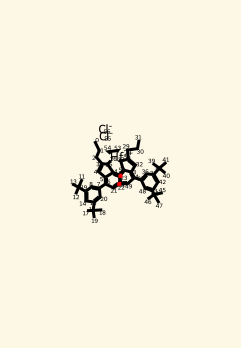 CCCC1=Cc2c(-c3cc(C(C)(C)C)cc(C(C)(C)C)c3)cccc2[CH]1[Hf+2]1([CH]2C(CCC)=Cc3c(-c4cc(C(C)(C)C)cc(C(C)(C)C)c4)cccc32)[CH2][CH2]1.[Cl-].[Cl-]